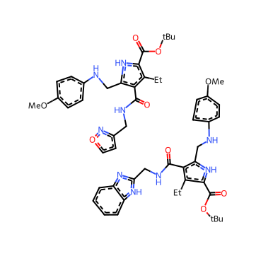 CCc1c(C(=O)OC(C)(C)C)[nH]c(CNc2ccc(OC)cc2)c1C(=O)NCc1ccon1.CCc1c(C(=O)OC(C)(C)C)[nH]c(CNc2ccc(OC)cc2)c1C(=O)NCc1nc2ccccc2[nH]1